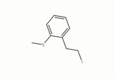 CSc1ccccc1CCI